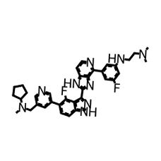 CN(C)CCNc1cc(F)cc(-c2nccc3[nH]c(-c4n[nH]c5ccc(-c6cncc(CN(C)C7CCCC7)c6)c(F)c45)nc23)c1